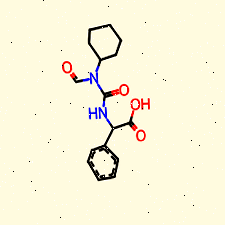 O=CN(C(=O)NC(C(=O)O)c1ccccc1)C1CCCCC1